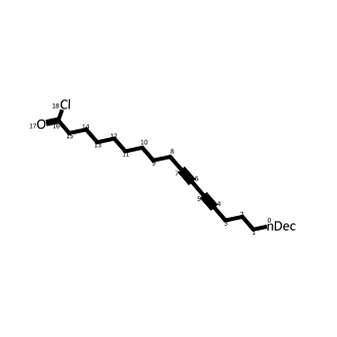 CCCCCCCCCCCCCC#CC#CCCCCCCCCC(=O)Cl